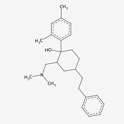 Cc1ccc(C2(O)CCC(CCc3ccccc3)CC2CN(C)C)c(C)c1